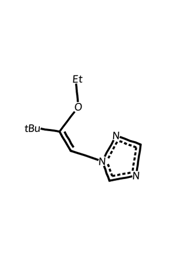 CCOC(=Cn1cncn1)C(C)(C)C